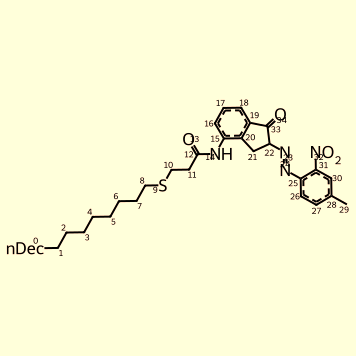 CCCCCCCCCCCCCCCCCCSCCC(=O)Nc1cccc2c1CC(N=Nc1ccc(C)cc1[N+](=O)[O-])C2=O